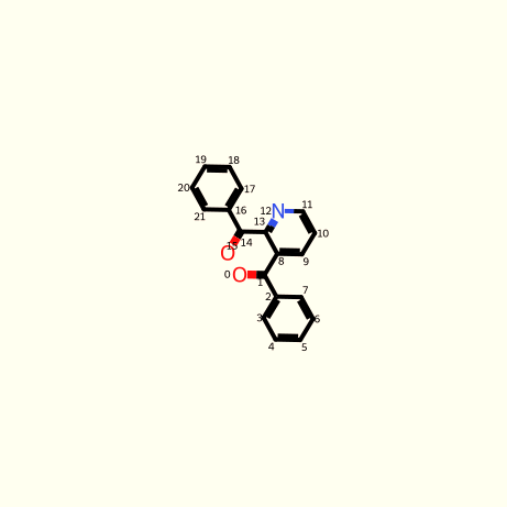 O=C(c1ccccc1)c1cccnc1C(=O)c1ccccc1